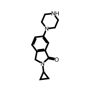 O=C1c2cc(N3CCNCC3)ccc2CN1C1CC1